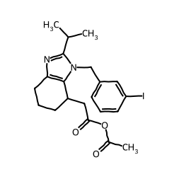 CC(=O)OC(=O)CC1CCCc2nc(C(C)C)n(Cc3cccc(I)c3)c21